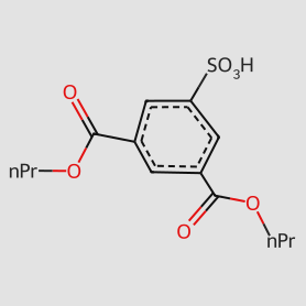 CCCOC(=O)c1cc(C(=O)OCCC)cc(S(=O)(=O)O)c1